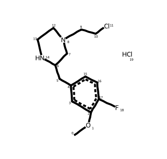 COc1cc(CC2CN(CCCl)CCN2)ccc1F.Cl